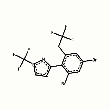 FC(F)(F)Sc1cc(Br)cc(Br)c1-c1[c]cn(C(F)(F)F)n1